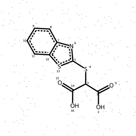 O=C(O)C(Sc1nc2ccccc2s1)C(=O)O